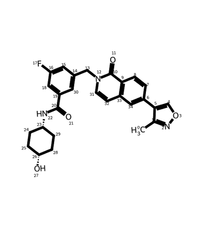 Cc1nocc1-c1ccc2c(=O)n(Cc3cc(F)cc(C(=O)N[C@H]4CC[C@@H](O)CC4)c3)ccc2c1